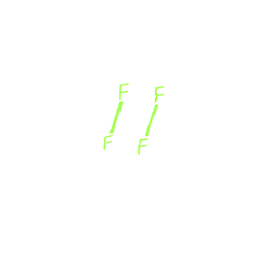 FF.FF